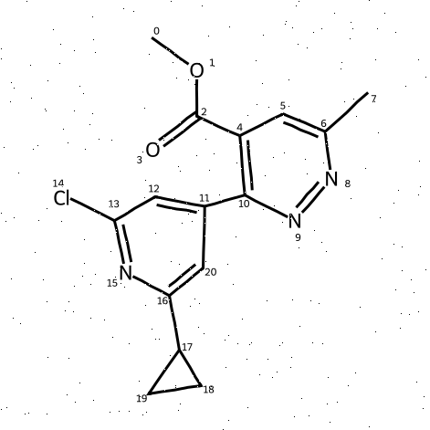 COC(=O)c1cc(C)nnc1-c1cc(Cl)nc(C2CC2)c1